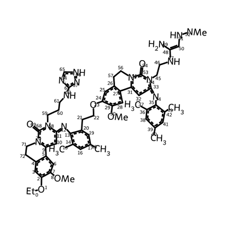 CCOc1cc2c(cc1OC)-c1c/c(=N\c3c(C)cc(C)cc3CCOc3cc4c(cc3OC)-c3c/c(=N\c5c(C)cc(C)cc5C)n(CCN/C(N)=C/NNC)c(=O)n3CC4)n(CCCNc3nc[nH]n3)c(=O)n1CC2